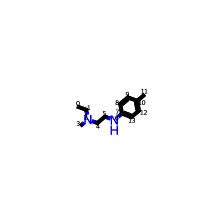 CCN(C)CCNc1ccc(C)cc1